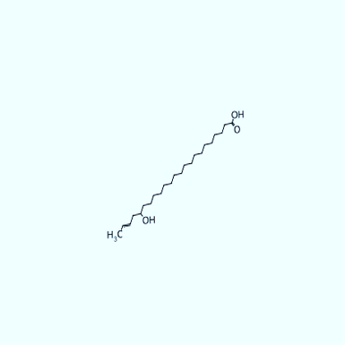 CC=CCC(O)CCCCCCCCCCCCCCCCCC(=O)O